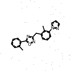 Cc1ccccc1-c1nc(Cc2cccc(-n3cccn3)c2C)no1